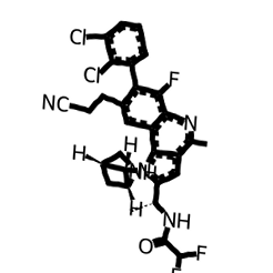 Cc1nc2c(F)c(-c3cccc(Cl)c3Cl)c(CCC#N)cc2c2c1cc([C@@H](C)NC(=O)C(F)F)n2[C@H]1[C@H]2CN[C@@H]1C2